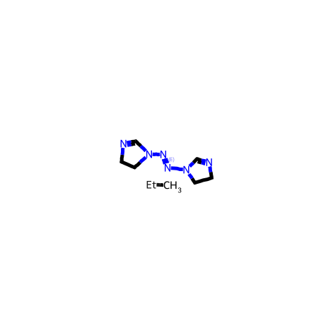 C1=NCCN1/N=N/N1C=NCC1.CCC